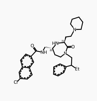 CCC(CN1CC[C@H](CNC(=O)c2ccc3cc(Cl)ccc3c2)N[C@@H](CCN2CCCCC2)C1=O)c1ccccc1